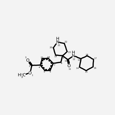 COC(=O)c1ccc(CC2(C(=O)NC3CCCCC3)CCNCC2)cc1